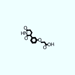 O=C(O)CCOc1cccc(C2CCC(=O)NC2=O)c1